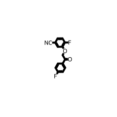 N#Cc1ccc(F)c(OCC(=O)c2ccc(F)cc2)c1